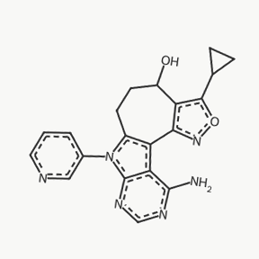 Nc1ncnc2c1c1c(n2-c2cccnc2)CCC(O)c2c-1noc2C1CC1